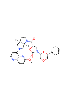 COc1ccc2nccc(N3C[C@H]4CCN(C(=O)[C@@H]5CN(C6=COC=C(C7=CC=CCC7)O6)C(=O)O5)[C@H]4C3)c2n1